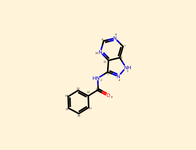 O=C(Nc1n[nH]c2cncnc12)c1ccccc1